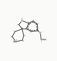 CCCCCCOc1ccc2c(c1)C1(CCNCC1)CO2